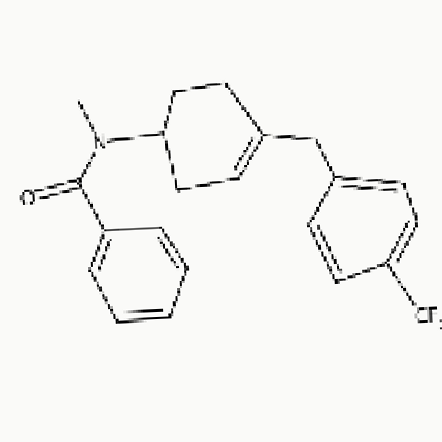 CN(C(=O)c1ccccc1)C1CC=C(Cc2ccc(C(F)(F)F)cc2)CC1